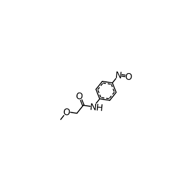 COCC(=O)Nc1ccc(N=O)cc1